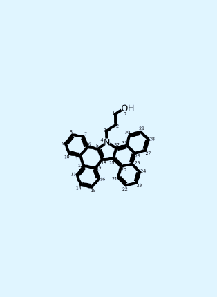 OCCCn1c2c3ccccc3c3ccccc3c2c2c3ccccc3c3ccccc3c21